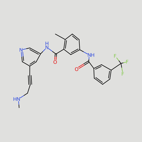 CNCC#Cc1cncc(NC(=O)c2cc(NC(=O)c3cccc(C(F)(F)F)c3)ccc2C)c1